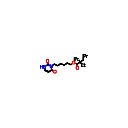 CCC(CC(C)C)(C(=O)OCCCCCCn1c(=O)cc[nH]c1=O)C(C)C